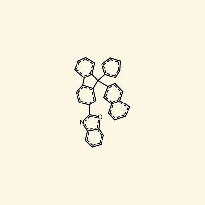 c1ccc(C2(c3ccc4ccccc4c3)c3ccccc3-c3ccc(-c4nc5ccccc5o4)cc32)cc1